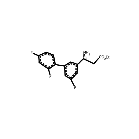 CCOC(=O)C[C@H](N)c1cc(F)cc(-c2ccc(F)cc2F)c1